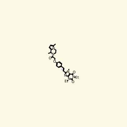 CCn1c(=O)c2c(nc(/C=C/c3ccc(OCC(=O)N4CCn5c(C)ccc5C4C)cc3)n2C)n(CC)c1=O